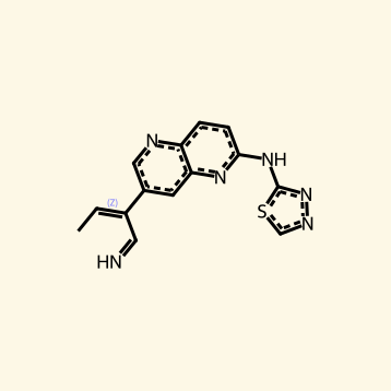 C/C=C(\C=N)c1cnc2ccc(Nc3nncs3)nc2c1